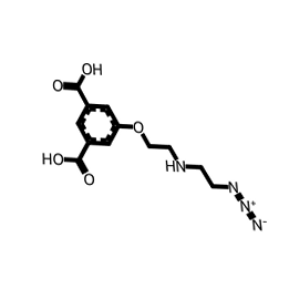 [N-]=[N+]=NCCNCCOc1cc(C(=O)O)cc(C(=O)O)c1